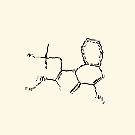 C=C1C(N)=Nc2ccccc2N1/C(CC(C)(C)O)=C(\C)NCCC